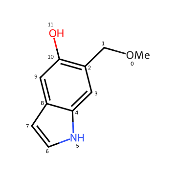 COCc1cc2[nH]ccc2cc1O